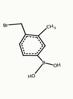 Cc1cc(B(O)O)ccc1CBr